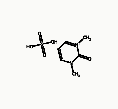 Cn1ccc[n+](C)c1=O.O=S(=O)(O)O